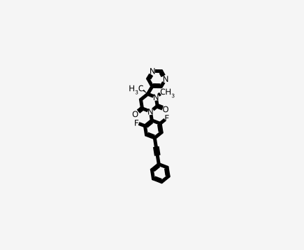 CN1C(=O)N(c2c(F)cc(C#Cc3ccccc3)cc2F)C(=O)C[C@@]1(C)c1cncnc1